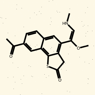 CN/C=C(/OC)c1cc2ccc(C(C)=O)cc2c2c1CC(=O)S2